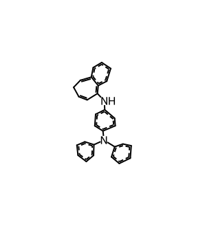 C1=CC(Nc2ccc(N(c3ccccc3)c3ccccc3)cc2)=c2ccccc2=CC1